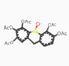 CC(=O)Oc1cc2c(c(OC(C)=O)c1OC(C)=O)[S+]([O-])c1c(ccc(OC(C)=O)c1OC(C)=O)C2